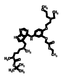 CCOC(=O)COc1cc(Nc2ncnc3[nH]cc(CN(C)CCCN(C)C(=O)OC(C)(C)C)c23)ccc1OCCN(CC)CCOC